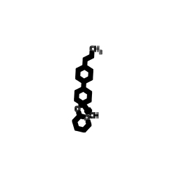 C#CC1(OC2CCCCO2)CCC(C2CCC(CCC)CC2)CC1